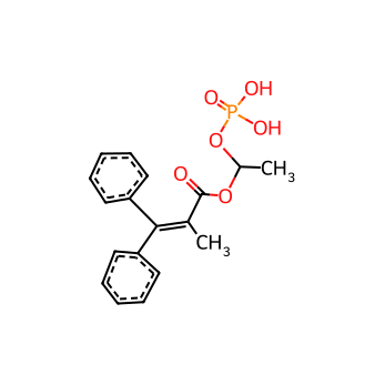 CC(C(=O)OC(C)OP(=O)(O)O)=C(c1ccccc1)c1ccccc1